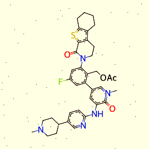 CC(=O)OCc1c(-c2cc(Nc3ccc(C4CCN(C)CC4)cn3)c(=O)n(C)c2)cc(F)cc1N1CCc2c(sc3c2CCCC3)C1=O